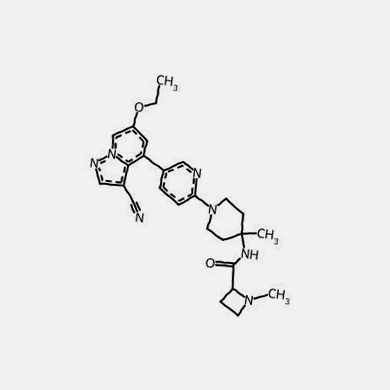 CCOc1cc(-c2ccc(N3CCC(C)(NC(=O)C4CCN4C)CC3)nc2)c2c(C#N)cnn2c1